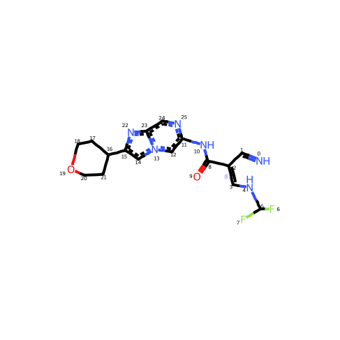 N=C/C(=C\NC(F)F)C(=O)Nc1cn2cc(C3CCOCC3)nc2cn1